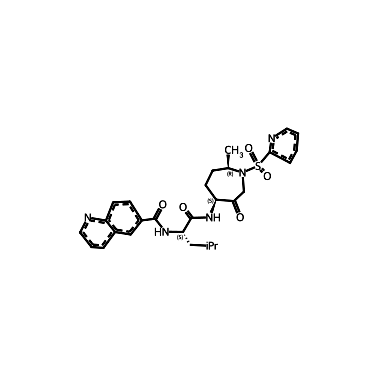 CC(C)C[C@H](NC(=O)c1ccc2ncccc2c1)C(=O)N[C@H]1CC[C@@H](C)N(S(=O)(=O)c2ccccn2)CC1=O